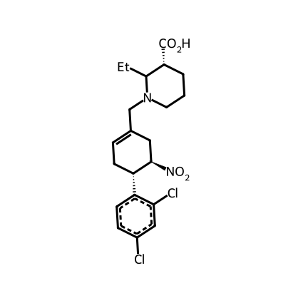 CCC1[C@H](C(=O)O)CCCN1CC1=CC[C@@H](c2ccc(Cl)cc2Cl)[C@H]([N+](=O)[O-])C1